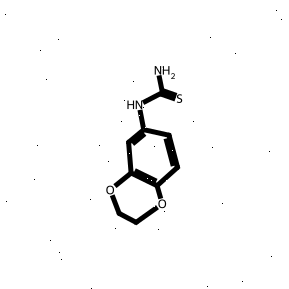 NC(=S)Nc1ccc2c(c1)OCCO2